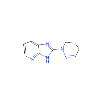 C1=NN(c2nc3cccnc3[nH]2)CCC1